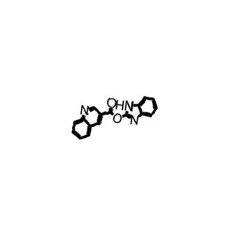 O=C(Oc1nc2ccccc2[nH]1)c1cnc2ccccc2c1